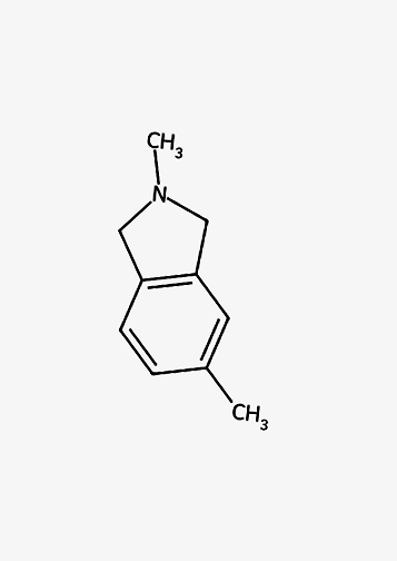 Cc1ccc2c(c1)CN(C)C2